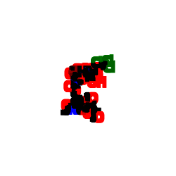 CCC(=O)Nc1cc(COC(=O)N(CCS(C)(=O)=O)COCC(CO)(CO)NC(=O)OCC(Cl)(Cl)Cl)ccc1O[C@@H]1O[C@H](C(C)=O)[C@@H](C)[C@H](C)[C@H]1OC(C)=O